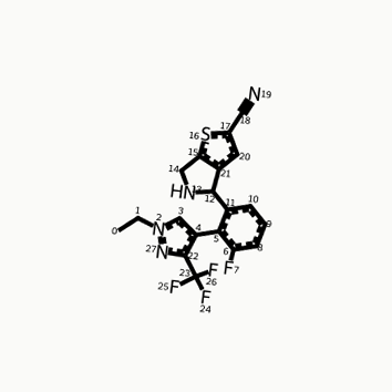 CCn1cc(-c2c(F)cccc2C2NCc3sc(C#N)cc32)c(C(F)(F)F)n1